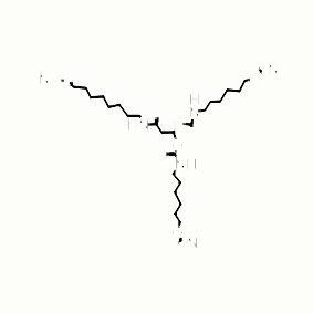 N#COCCCCCCCCNC(=O)CC(OC(=O)NCCCCCCOC#N)OC(=O)NCCCCCCOC#N